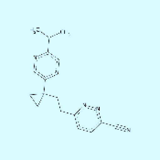 CC(C)c1ccc(C2(CCc3ccc(C#N)nn3)CC2)cn1